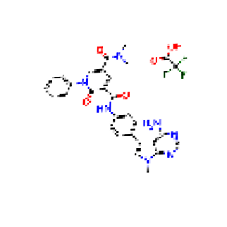 CN(C)C(=O)c1cc(C(=O)Nc2ccc(-c3cn(C)c4ncnc(N)c34)cc2)c(=O)n(-c2ccccc2)c1.O=C(O)C(F)(F)F